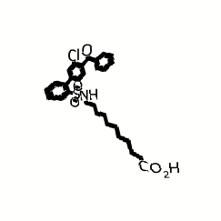 O=C(O)CCCCCCCCCCNS(=O)(=O)c1ccccc1-c1ccc(C(=O)c2ccccc2)c(Cl)c1